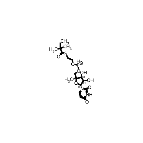 CCC(C)(C)C(=O)SCCO[PH](=O)OC[C@@]1(C)O[C@@H](n2ccc(=O)[nH]c2=O)[C@H](O)[C@@H]1O